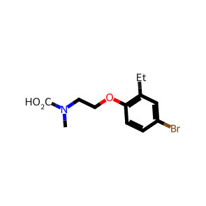 CCc1cc(Br)ccc1OCCN(C)C(=O)O